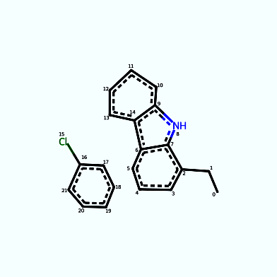 CCc1cccc2c1[nH]c1ccccc12.Clc1ccccc1